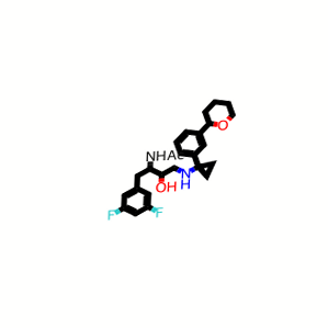 CC(=O)NC(Cc1cc(F)cc(F)c1)C(O)CNC1(c2cccc(C3CCCCO3)c2)CC1